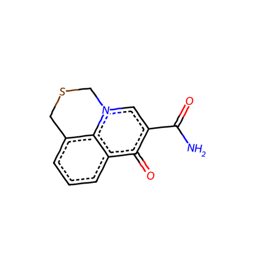 NC(=O)c1cn2c3c(cccc3c1=O)CSC2